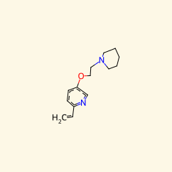 C=Cc1ccc(OCCN2CCCCC2)cn1